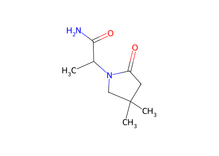 CC(C(N)=O)N1CC(C)(C)CC1=O